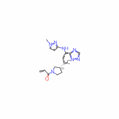 C=CC(=O)N1CC[C@@H](c2cc(Nc3ccn(C)n3)c3ncnn3c2)C1